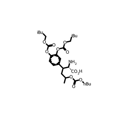 CCCCOC(=O)OC(C)CC(c1ccc(OC(=O)OCC(C)CC)c(OC(=O)OCC(C)CC)c1)[C@H](N)C(=O)O